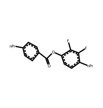 CCCc1ccc(C(=O)Oc2ccc(CCC)c(F)c2F)cc1